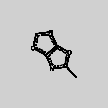 Cc1nc2ocnc2o1